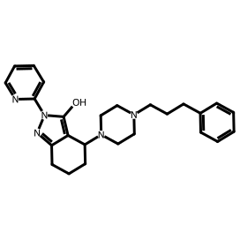 Oc1c2c(nn1-c1ccccn1)CCCC2N1CCN(CCCc2ccccc2)CC1